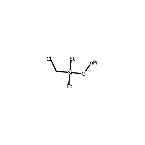 CCCO[Si](CC)(CC)CCl